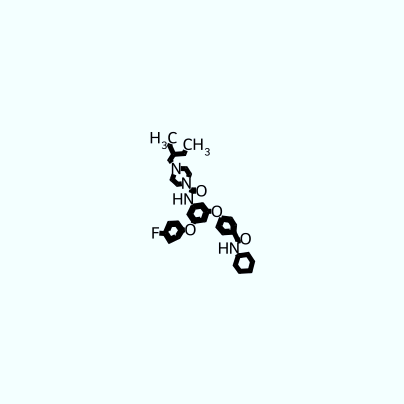 CCC(CC)CN1CCN(C(=O)Nc2cc(Oc3ccc(F)cc3)cc(Oc3ccc(C(=O)NC4CCCCC4)cc3)c2)CC1